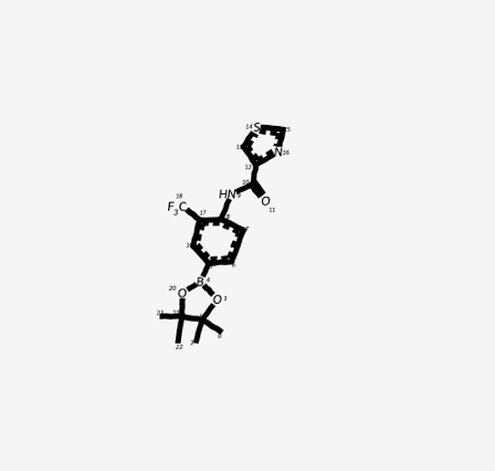 CC1(C)OB(c2ccc(NC(=O)c3cscn3)c(C(F)(F)F)c2)OC1(C)C